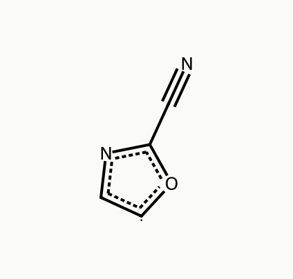 N#Cc1nc[c]o1